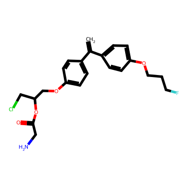 C=C(c1ccc(OCCCF)cc1)c1ccc(OCC(CCl)OC(=O)CN)cc1